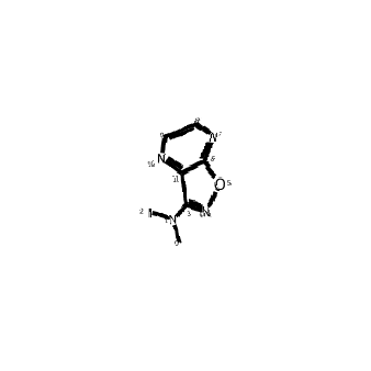 CN(I)c1noc2nccnc12